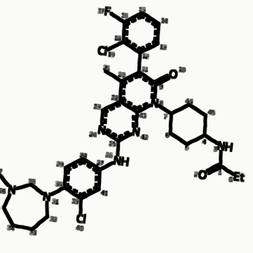 CCC(=O)NC1CCC(n2c(=O)c(-c3cccc(F)c3Cl)c(C)c3cnc(Nc4ccc(N5CCCCN(C)C5)c(Cl)c4)nc32)CC1